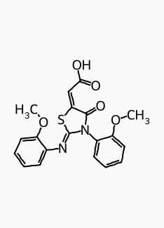 COc1ccccc1N=C1SC(=CC(=O)O)C(=O)N1c1ccccc1OC